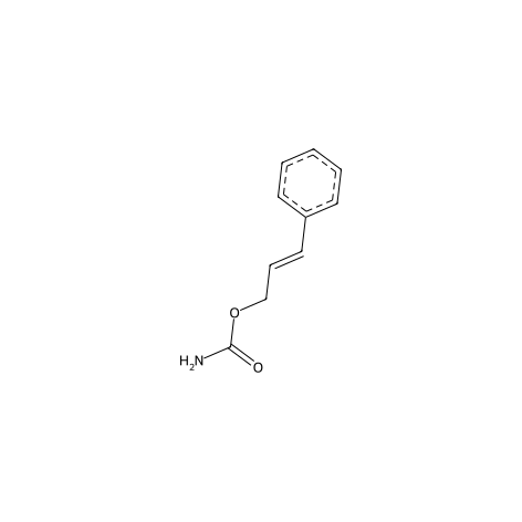 NC(=O)OCC=Cc1ccccc1